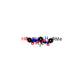 COc1ccc(C(=O)NC[C@H](C)Oc2cccc(OCCN(N)C(=O)c3ccc(O)cc3)c2I)cc1